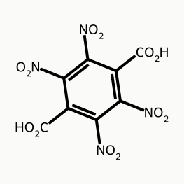 O=C(O)c1c([N+](=O)[O-])c([N+](=O)[O-])c(C(=O)O)c([N+](=O)[O-])c1[N+](=O)[O-]